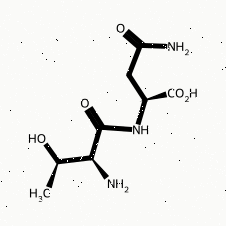 C[C@@H](O)[C@H](N)C(=O)N[C@@H](CC(N)=O)C(=O)O